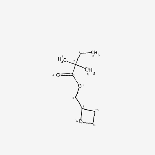 CCC(C)(C)C(=O)OCC1CCO1